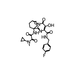 CN(C(=O)C(=O)NC12CCC(CC1)Cn1c2nc(C(=O)NCc2ccc(F)cc2)c(O)c1=O)C1CC1